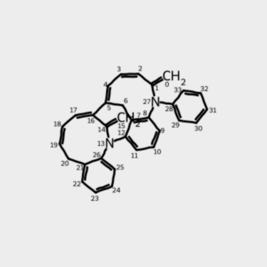 C=C1\C=C/C=C2\Cc3c(cccc3N3C(=C)\C2=C/C=C\Cc2ccccc23)N1c1ccccc1